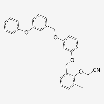 Cc1cccc(COc2cccc(OCc3cccc(Oc4ccccc4)c3)c2)c1OCC#N